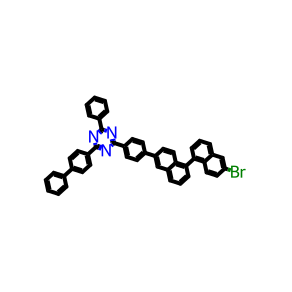 Brc1ccc2c(-c3cccc4cc(-c5ccc(-c6nc(-c7ccccc7)nc(-c7ccc(-c8ccccc8)cc7)n6)cc5)ccc34)cccc2c1